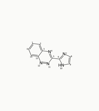 c1ccc2nc(-c3ncc[nH]3)nnc2c1